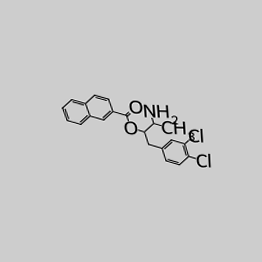 CC(N)C(Cc1ccc(Cl)c(Cl)c1)OC(=O)c1ccc2ccccc2c1